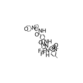 COc1cc(C(=O)N[C@H]2CCCN(C3CCOCC3)C2)ccc1Nc1ncc(C(F)(F)F)c(NCc2ccc(C)cc2N(C)S(C)(=O)=O)n1